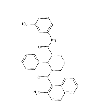 Cc1ccc2ccccc2c1C(=O)N1CCCC(C(=O)Nc2cccc(C(C)(C)C)c2)C1c1ccccc1